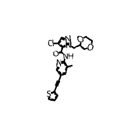 Cc1cc(C#Cc2cccs2)cnc1NC(=O)c1c(Cl)cnn1CC1COCCO1